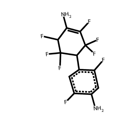 NC1=C(F)C(F)(F)C(c2cc(F)c(N)cc2F)C(F)(F)C1F